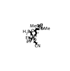 BC1CN(P(OCCC#N)N(CC)C(C)C)CCC(/C=C/P(=O)(OC)OC)O1